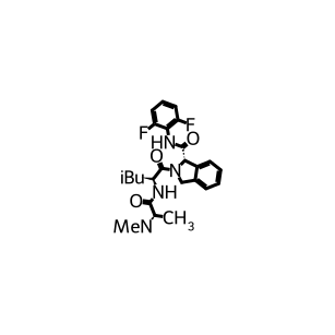 CC[C@H](C)[C@H](NC(=O)[C@H](C)NC)C(=O)N1Cc2ccccc2[C@H]1C(=O)Nc1c(F)cccc1F